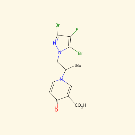 CC(C)(C)C(Cn1nc(Br)c(F)c1Br)n1ccc(=O)c(C(=O)O)c1